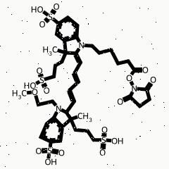 COCCN1c2ccc(S(=O)(=O)O)cc2C(C)(CCCS(=O)(=O)O)C1/C=C/C=C/C=C1/N(CCCCCC(=O)ON2C(=O)CCC2=O)c2ccc(S(=O)(=O)O)cc2C1(C)CCCS(=O)(=O)O